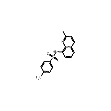 Cc1ccc2cccc(NS(=O)(=O)c3ccc(C(F)(F)F)cc3)c2n1